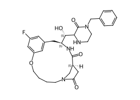 O=C1N[C@H]([C@H](O)C2NCCN(Cc3ccccc3)C2=O)Cc2cc(F)cc(c2)OCCCCN2C[C@@H]1CC2=O